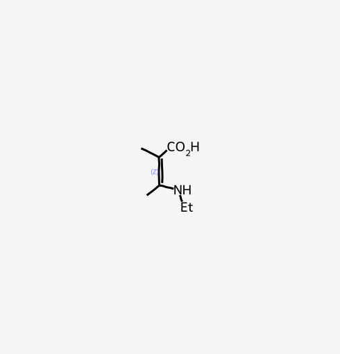 CCN/C(C)=C(/C)C(=O)O